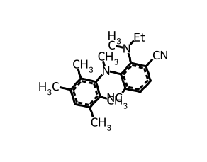 CCN(C)c1c(C#N)ccc(C#N)c1N(C)c1c(C)c(C)cc(C)c1C